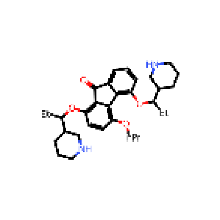 CCCOc1ccc(OC(CC)C2CCCNC2)c2c1-c1c(OC(CC)C3CCCNC3)cccc1C2=O